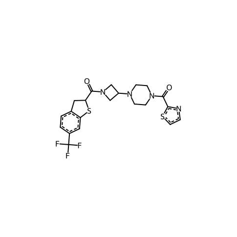 O=C(c1nccs1)N1CCN(C2CN(C(=O)C3Cc4ccc(C(F)(F)F)cc4S3)C2)CC1